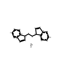 C1=CC(CCC2C=Cc3ccccc32)c2ccccc21.[Zr]